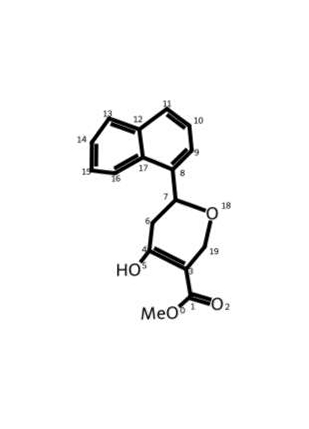 COC(=O)C1=C(O)CC(c2cccc3ccccc23)OC1